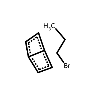 CCCBr.c1cc2ccc1-2